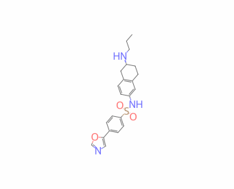 CCCN[C@H]1CCc2cc(NS(=O)(=O)c3ccc(-c4cnco4)cc3)ccc2C1